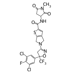 CN1C(=O)CC(NC(=O)c2cc3c(s2)CN(C2=NOC(c4cc(Cl)c(F)c(Cl)c4)(C(F)(F)F)C2)C3)C1=O